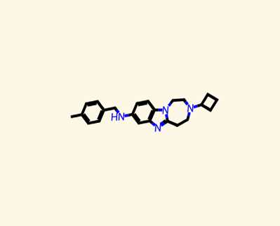 Cc1ccc(CNc2ccc3c(c2)nc2n3CCN(C3CCC3)CC2)cc1